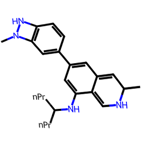 CCCC(CCC)Nc1cc(-c2ccc3[nH]n(C)c3c2)cc2c1=CNC(C)C=2